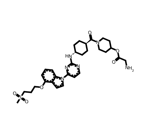 CS(=O)(=O)CCCOc1cccc2c1ccn2-c1ccnc(N[C@H]2CC[C@H](C(=O)N3CCC(OC(=O)CN)CC3)CC2)n1